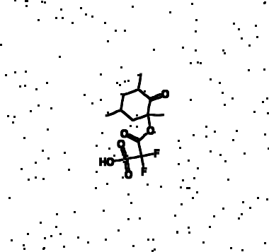 CC1CC(C)C(=O)C(C)(OC(=O)C(F)(F)S(=O)(=O)O)C1